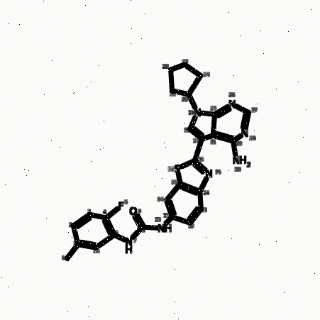 Cc1ccc(F)c(NC(=O)Nc2ccc3nc(-c4cn(C5CCCC5)c5ncnc(N)c45)sc3c2)c1